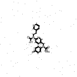 CCC(=O)N(CCc1cccnc1)c1ccc(CN(C(=O)C(C)(C)C)c2ccc(F)cc2)cn1